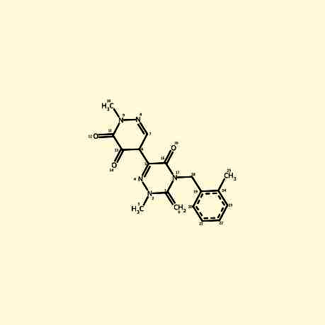 C=C1N(C)N=C(C2C=NN(C)C(=O)C2=O)C(=O)N1Cc1ccccc1C